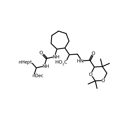 CCCCCCCCCCC(CCCCCCC)NC(=O)NC1CCCCCC1C(CNC(=O)C1OC(C)(C)OCC1(C)C)C(=O)O